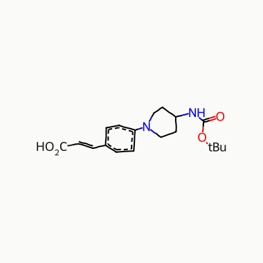 CC(C)(C)OC(=O)NC1CCN(c2ccc(C=CC(=O)O)cc2)CC1